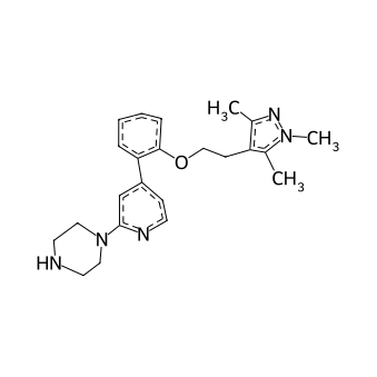 Cc1nn(C)c(C)c1CCOc1ccccc1-c1ccnc(N2CCNCC2)c1